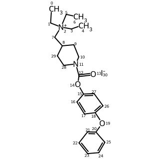 CC[N+](CC)(CC)CC1CCN(C(=O)Oc2ccc(Oc3ccccc3)cc2)CC1.[I-]